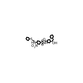 O=C(NS(=O)(=O)c1ccc(NCCSc2ccccc2)c([N+](=O)[O-])c1)c1ccc(/C(O)=C\c2ccccc2)cc1